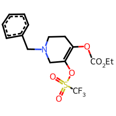 CCOC(=O)OC1=C(OS(=O)(=O)C(F)(F)F)CN(Cc2ccccc2)CC1